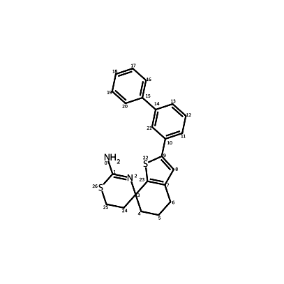 NC1=NC2(CCCc3cc(-c4cccc(-c5ccccc5)c4)sc32)CCS1